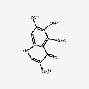 COc1cc2[nH]cc(C(=O)O)c(=O)c2c(OC)c1OC